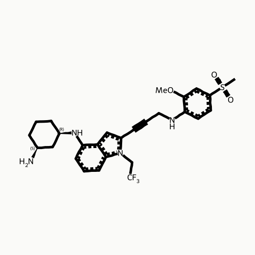 COc1cc(S(C)(=O)=O)ccc1NCC#Cc1cc2c(N[C@@H]3CCC[C@H](N)C3)cccc2n1CC(F)(F)F